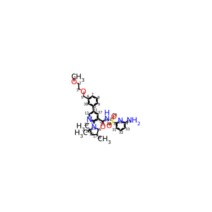 COCCOCc1cccc(-c2cnc(N3CC(C)CC3(C)C)c(C(=O)NS(=O)(=O)c3cccc(N)n3)c2)c1